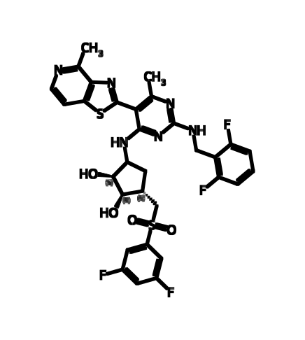 Cc1nc(NCc2c(F)cccc2F)nc(NC2C[C@H](CS(=O)(=O)c3cc(F)cc(F)c3)[C@@H](O)[C@H]2O)c1-c1nc2c(C)nccc2s1